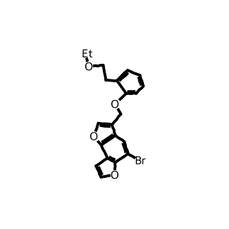 CCOCCc1ccccc1OCc1coc2c1cc(Br)c1occc12